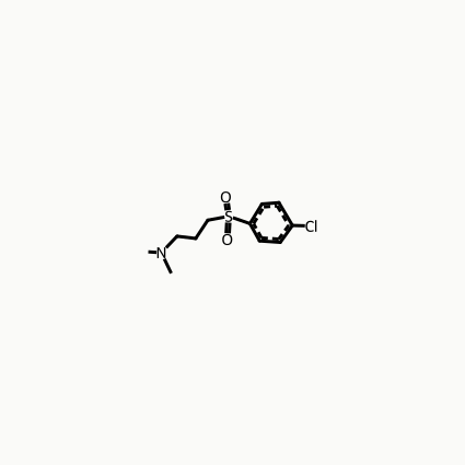 CN(C)CCCS(=O)(=O)c1ccc(Cl)cc1